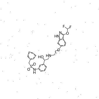 O=S(=O)(Cc1ccccc1)Nc1cccc([C@@H](O)CNCCOc2ccc3c(OC(F)F)n[nH]c3c2)c1